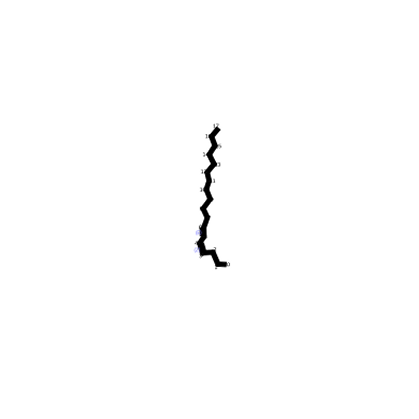 CCC/[C]=C\C=C\CCCCCCCCCCC